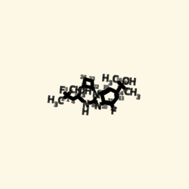 CC(C)(F)CC(O)Nc1nc2c(F)cc(C(C)(C)O)cc2n1C1CCC1